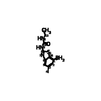 Bc1cc(I)cc2nc(NC(=O)NCC)sc12